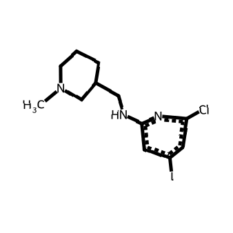 CN1CCCC(CNc2cc(I)cc(Cl)n2)C1